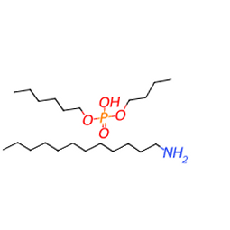 CCCCCCCCCCCCN.CCCCCCOP(=O)(O)OCCCC